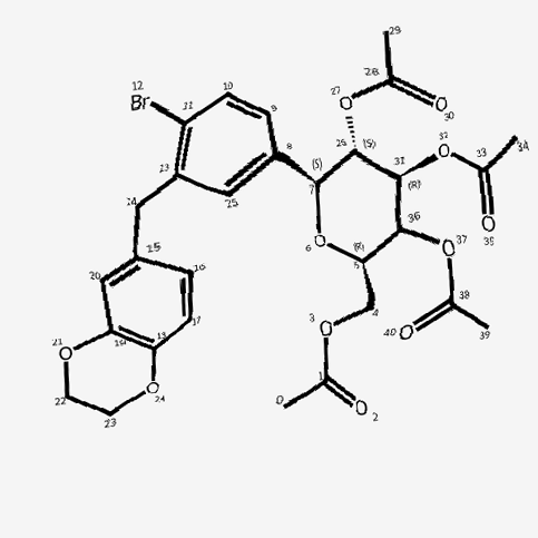 CC(=O)OC[C@H]1O[C@@H](c2ccc(Br)c(Cc3ccc4c(c3)OCCO4)c2)[C@H](OC(C)=O)[C@@H](OC(C)=O)C1OC(C)=O